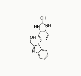 OCc1nc2ccccc2n1-c1ccc2c(c1)NC(O)N2